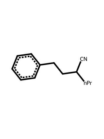 [CH2]CCC(C#N)CCc1ccccc1